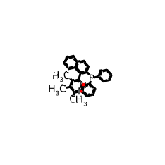 Cc1nnc(-c2c(P(c3ccccc3)c3ccccc3)ccc3ccccc23)c(C)c1C